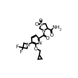 NC(=O)C1CS(=O)(=O)CN1C(=O)c1ccc(N2CC(F)(F)C2)c(OCC2CC2)n1